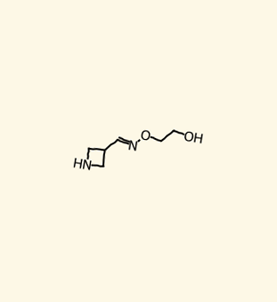 OCCON=CC1CNC1